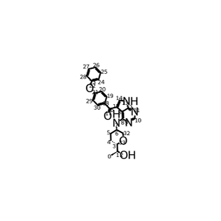 C[C@H](O)[C@@H]1CC[C@@H](Nc2ncnc3[nH]cc(C(=O)c4ccc(Oc5ccccc5)cc4)c23)CO1